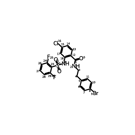 O=C(NCCc1ccc(Br)cc1)c1ccc(Cl)cc1NS(=O)(=O)c1c(F)cccc1F